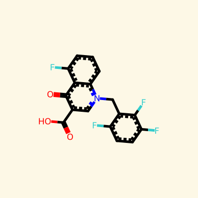 O=C(O)c1cn(Cc2c(F)ccc(F)c2F)c2cccc(F)c2c1=O